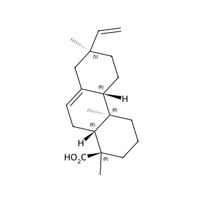 C=C[C@@]1(C)CC[C@H]2C(=CC[C@@H]3[C@]2(C)CCC[C@@]3(C)C(=O)O)C1